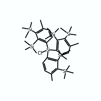 Cc1ccc([Si](Cl)(c2ccc(C)c([Si](C)(C)C)c2[Si](C)(C)C)c2ccc(C)c([Si](C)(C)C)c2[Si](C)(C)C)c([Si](C)(C)C)c1[Si](C)(C)C